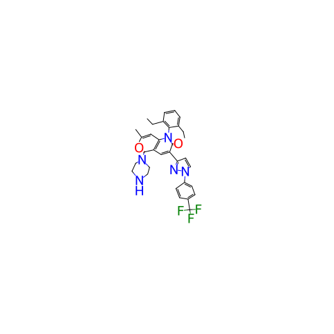 CCc1cccc(CC)c1-n1c(C=C(C)C)c(C(=O)N2CCNCC2)cc(-c2ccn(-c3ccc(C(F)(F)F)cc3)n2)c1=O